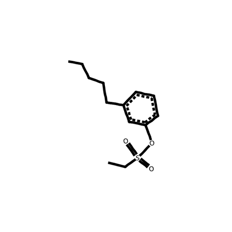 CCCCCc1cccc(OS(=O)(=O)CC)c1